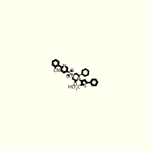 N#Cc1ccccc1-c1ccc(S(=O)(=O)N2CC(=O)N(c3cc(-c4ccccc4)sc3C(=O)O)[C@H](C3CCCCC3)C2)cn1